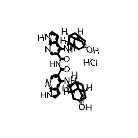 Cl.O=C(NC(=O)c1cnc2[nH]ccc2c1N[C@H]1[C@@H]2C[C@H]3C[C@H]1C[C@@](O)(C3)C2)c1cnc2[nH]ccc2c1N[C@H]1[C@@H]2C[C@H]3C[C@H]1C[C@@](O)(C3)C2